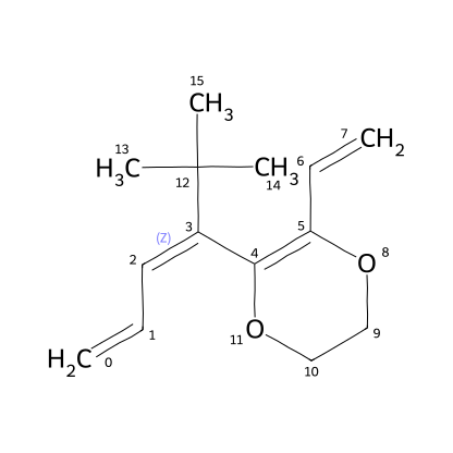 C=C/C=C(\C1=C(C=C)OCCO1)C(C)(C)C